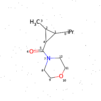 CC(C)C1C(C)C1C(=O)N1CCOCC1